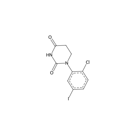 O=C1CCN(c2cc(I)ccc2Cl)C(=O)N1